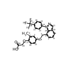 Cc1cc(SCc2cccc3cnn(-c4ccc(C(F)(F)F)cc4)c23)ccc1OCC(=O)O